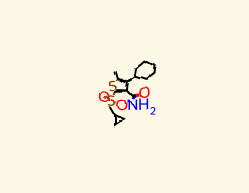 Cc1sc(S(=O)(=O)CC2CC2)c(C(N)=O)c1C1CCCCC1